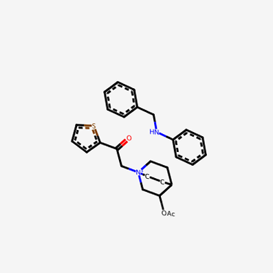 CC(=O)OC1C[N+]2(CC(=O)c3cccs3)CCC1CC2.c1ccc(CNc2ccccc2)cc1